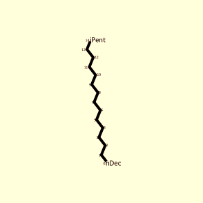 [CH2]CCCCCCCCCCCCCCCCCCCCCCC(C)CCC